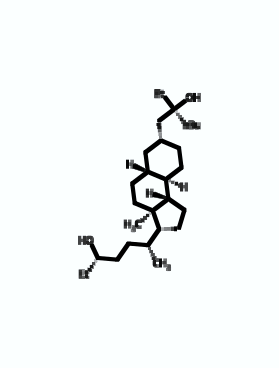 CCCC[C@@](O)(CC)C[C@@H]1CC[C@@H]2[C@H](CC[C@]3(C)[C@@H]([C@H](C)CC[C@@H](O)CC)CC[C@@H]23)C1